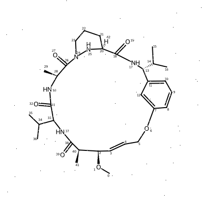 CO[C@@H]1/C=C/COc2cccc(c2)[C@@H](C(C)C)NC(=O)[C@@H]2CCCN(N2)C(=O)[C@H](C)NC(=O)C(C(C)C)NC(=O)[C@@H]1C